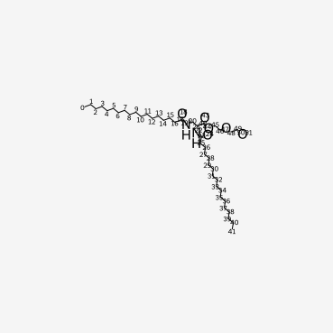 CCCCCCCCCCCCCCCCCC(=O)NCC(NC(=O)CCCCCCCCCCCCCCCCC)C(=O)OCCOCCOC